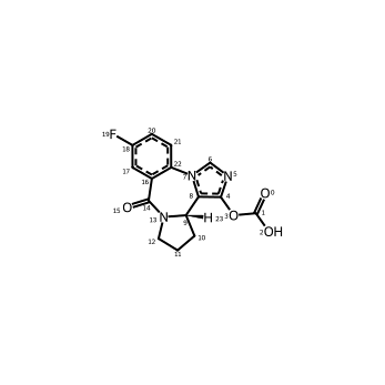 O=C(O)Oc1ncn2c1[C@@H]1CCCN1C(=O)c1cc(F)ccc1-2